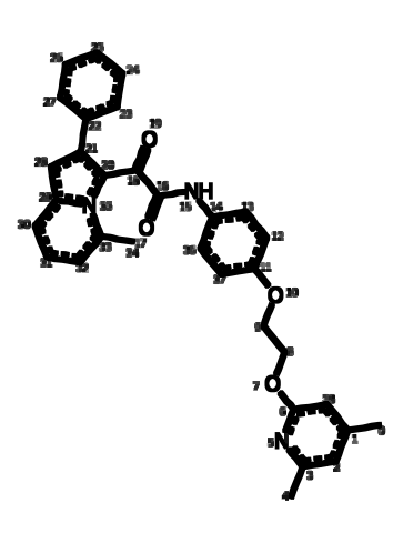 Cc1cc(C)nc(OCCOc2ccc(NC(=O)C(=O)c3c(-c4ccccc4)cc4cccc(C)n34)cc2)c1